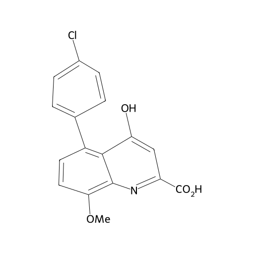 COc1ccc(-c2ccc(Cl)cc2)c2c(O)cc(C(=O)O)nc12